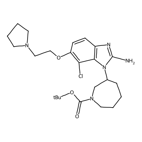 CC(C)(C)OC(=O)N1CCCCC(n2c(N)nc3ccc(OCCN4CCCC4)c(Cl)c32)C1